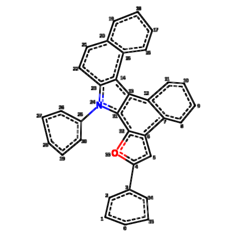 c1ccc(-c2cc3c4ccccc4c4c5c6ccccc6ccc5n(-c5ccccc5)c4c3o2)cc1